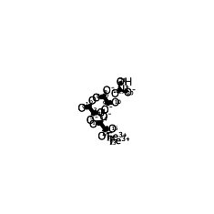 O=C([O-])C(=O)[O-].O=C([O-])C(=O)[O-].O=C([O-])C(=O)[O-].O=[N+]([O-])O.[Fe+3].[Fe+3]